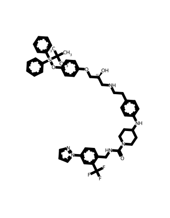 CC(C)(C)[Si](Oc1ccc(OC[C@@H](O)CNCCc2ccc(NC3CCN(C(=O)NCc4ccc(-n5cccn5)cc4C(F)(F)F)CC3)cc2)cc1)(c1ccccc1)c1ccccc1